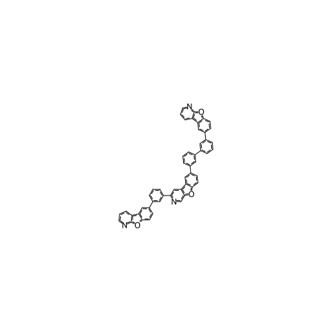 c1cc(-c2cccc(-c3ccc4oc5ncccc5c4c3)c2)cc(-c2ccc3oc4cnc(-c5cccc(-c6ccc7oc8ncccc8c7c6)c5)cc4c3c2)c1